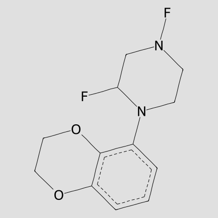 FC1CN(F)CCN1c1cccc2c1OCCO2